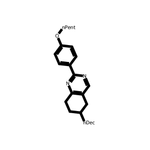 CCCCCCCCCCC1CCc2nc(-c3ccc(OCCCCC)cc3)ncc2C1